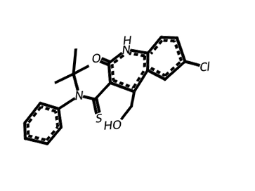 CC(C)(C)N(C(=S)c1c(CO)c2cc(Cl)ccc2[nH]c1=O)c1ccccc1